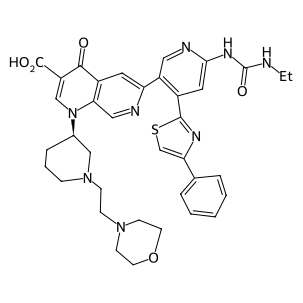 CCNC(=O)Nc1cc(-c2nc(-c3ccccc3)cs2)c(-c2cc3c(=O)c(C(=O)O)cn([C@@H]4CCCN(CCN5CCOCC5)C4)c3cn2)cn1